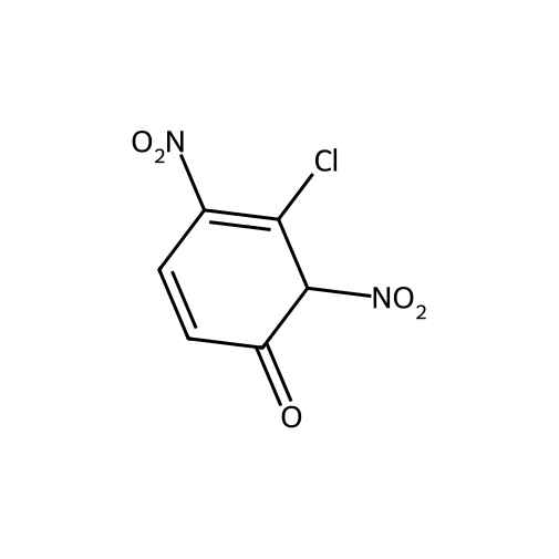 O=C1C=CC([N+](=O)[O-])=C(Cl)C1[N+](=O)[O-]